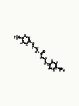 Nc1ccc(/C=C/COC(=O)C/C=C/c2ccc(N)cc2)cc1